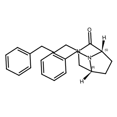 O=C1[C@@H]2CC[C@H](CN1CCCc1ccccc1)N2Cc1ccccc1